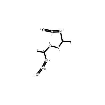 CC(N=C=O)SSC(C)N=C=O